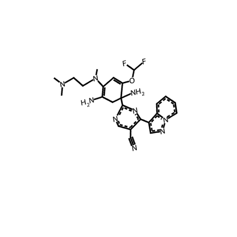 CN(C)CCN(C)C1=C(N)CC(N)(c2ncc(C#N)c(-c3cnn4ccccc34)n2)C(OC(F)F)=C1